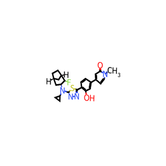 Cn1ccc(-c2ccc(-c3nnc(N(C4CC4)[C@H]4C[C@@H]5CC[C@@H](C5)[C@H]4F)s3)c(O)c2)cc1=O